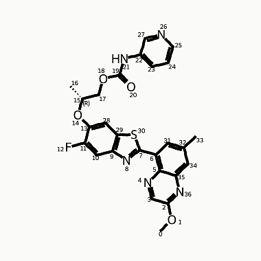 COc1cnc2c(-c3nc4cc(F)c(O[C@H](C)COC(=O)Nc5cccnc5)cc4s3)cc(C)cc2n1